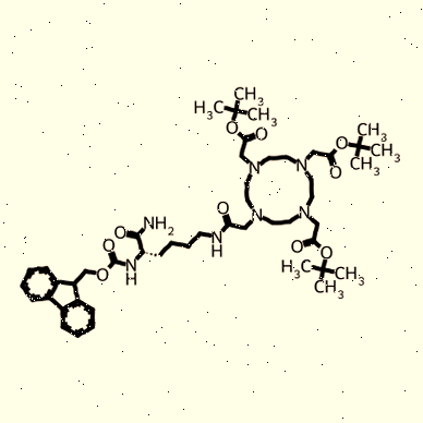 CC(C)(C)OC(=O)CN1CCN(CC(=O)NCCCC[C@H](NC(=O)OCC2c3ccccc3-c3ccccc32)C(N)=O)CCN(CC(=O)OC(C)(C)C)CCN(CC(=O)OC(C)(C)C)CC1